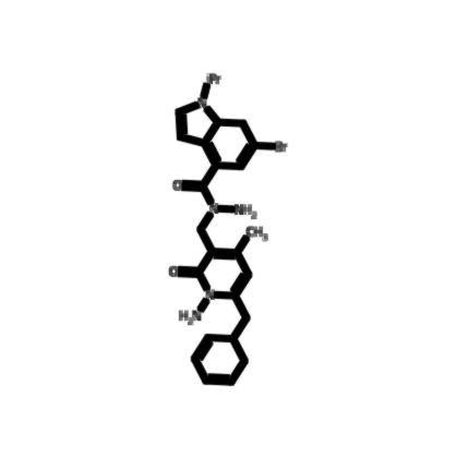 Cc1cc(CC2C=CC=CC2)n(N)c(=O)c1CN(N)C(=O)C1=C2C=CN(C(C)C)C2CC(Br)=C1